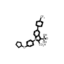 O=C(O)c1c(P(=O)(O)O)c2cc(-c3ccc(C(F)(F)F)cc3)ccc2n1-c1ccc(OC2CCCC2)cc1